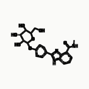 CNC(=O)c1cccc2[nH]c(-c3ccc(OC4OC(CO)C(O)C(O)C4O)cc3)nc12